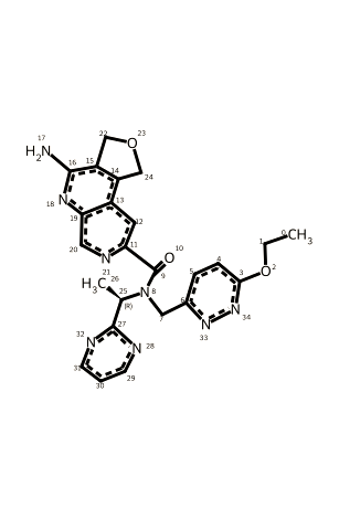 CCOc1ccc(CN(C(=O)c2cc3c4c(c(N)nc3cn2)COC4)[C@H](C)c2ncccn2)nn1